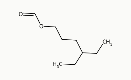 CCC(CC)CCCOC=O